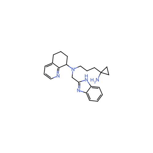 NC1(CCCN(Cc2nc3ccccc3[nH]2)C2CCCc3cccnc32)CC1